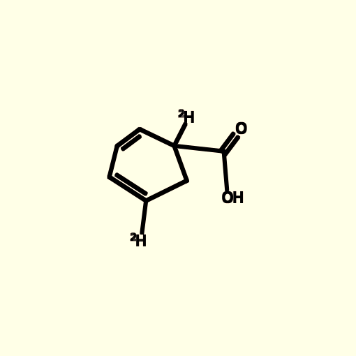 [2H]C1=CC=CC([2H])(C(=O)O)C1